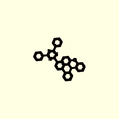 c1ccc(-c2nc(-c3ccccc3)nc(-c3ccc(-c4ccccc4C4c5ccccc5Oc5ccccc54)cc3)n2)cc1